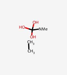 CC.CNC(O)(O)O